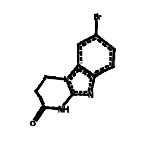 O=C1CCn2c(nc3ccc(Br)cc32)N1